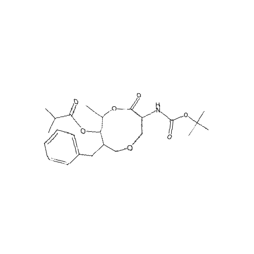 CC(C)C(=O)OC1C(Cc2ccccc2)COCC(NC(=O)OC(C)(C)C)C(=O)OC1C